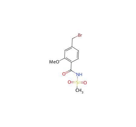 COc1cc(CBr)ccc1C(=O)NS(C)(=O)=O